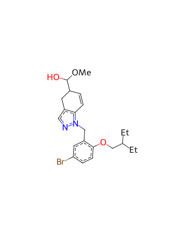 CCC(CC)COc1ccc(Br)cc1Cn1ncc2c1C=CC(C(O)OC)C2